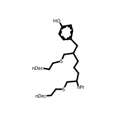 CCCCCCCCCCCCSCC(CCC)CCCC(CSCCCCCCCCCCCC)Cc1ccc(O)cc1